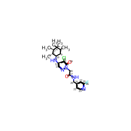 C[C@@H]1[C@@H](C)C(C)(C)[C@@H](C)C[C@H]1Nc1cnn(CC(=O)NCc2ccnc(F)c2)c(=O)c1Cl